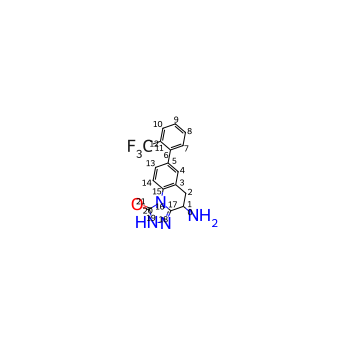 NC1Cc2cc(-c3ccccc3C(F)(F)F)ccc2-n2c1n[nH]c2=O